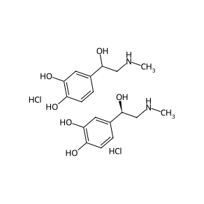 CNCC(O)c1ccc(O)c(O)c1.CNC[C@H](O)c1ccc(O)c(O)c1.Cl.Cl